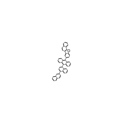 c1ccc2cc(-c3ccc(-c4c5ccccc5c(-c5ccc6oc7c8ccccc8ccc7c6c5)c5ccccc45)c4ccccc34)ccc2c1